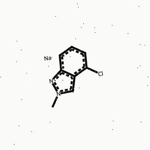 Cn1cc2c(Cl)cccc2n1.[Na]